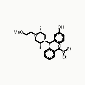 CCN(CC)C(=O)c1ccccc1[C@@H](c1cccc(O)c1)N1C[C@@H](C)N(CCOC)C[C@@H]1C